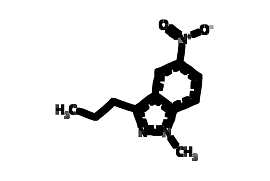 CCCc1nn(C)c2ccc([N+](=O)[O-])cc12